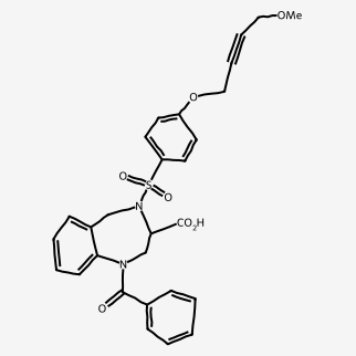 COCC#CCOc1ccc(S(=O)(=O)N2Cc3ccccc3N(C(=O)c3ccccc3)CC2C(=O)O)cc1